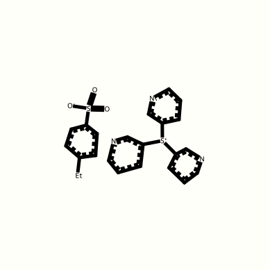 CCc1ccc(S(=O)(=O)[O-])cc1.c1cncc([S+](c2cccnc2)c2cccnc2)c1